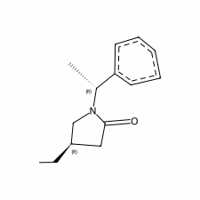 CC[C@@H]1CC(=O)N([C@H](C)c2ccccc2)C1